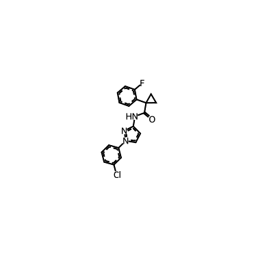 O=C(Nc1ccn(-c2cccc(Cl)c2)n1)C1(c2ccccc2F)CC1